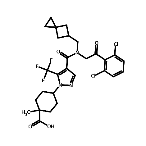 CC1(C(=O)O)CCC(n2ncc(C(=O)N(CC(=O)c3c(Cl)cccc3Cl)CC3CC4(CC4)C3)c2C(F)(F)F)CC1